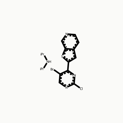 CC(C)NC(C)C.Clc1ncc(Br)c(-c2cc3ccncc3s2)n1